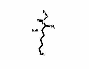 CCO[PH](=O)C(N)CCCCCN.[NaH]